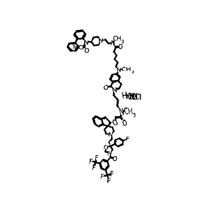 CN(CCN1CCC(N(C(=O)O)c2ccccc2-c2ccccc2)CC1)C(=O)CCCCCN(C)c1ccc2c(c1)CCN(CCCN(C)C(=O)CO[C@H]1Cc3ccccc3C13CCN(CC[C@@]1(c4ccc(F)cc4)CN(C(=O)c4cc(C(F)(F)F)cc(C(F)(F)F)c4)CO1)CC3)C2=O.Cl.Cl.Cl